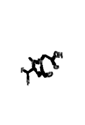 Cn1c(C(F)F)cc(=O)n1CC(=O)O